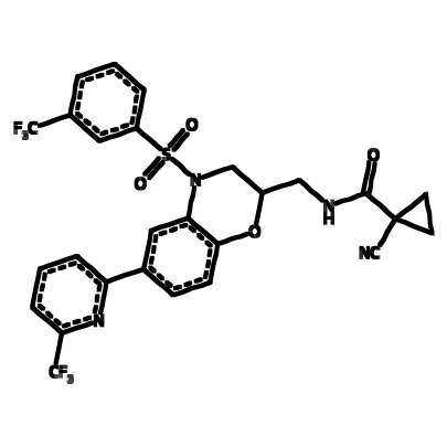 N#CC1(C(=O)NCC2CN(S(=O)(=O)c3cccc(C(F)(F)F)c3)c3cc(-c4cccc(C(F)(F)F)n4)ccc3O2)CC1